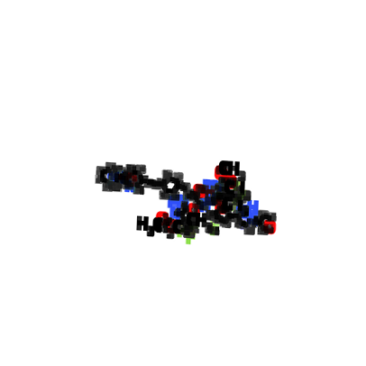 COC(=O)NC(C(=O)N[C@@H](Cc1ccc(C#Cc2ccc(N3CC4CCC(C3)N4C3COC3)nc2)cc1)[C@@H](O)CN(Cc1c(F)cc(C(=N)/C=C\N[C@H]2CCOC2)cc1F)NC(=O)[C@@H](NC(=O)OC)C(C)(C)C(F)(F)F)C(C)(C)C(F)(F)F